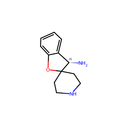 N[C@H]1c2ccccc2OC12CCNCC2